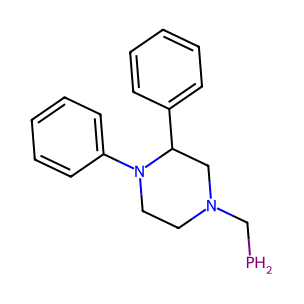 PCN1CCN(c2ccccc2)C(c2ccccc2)C1